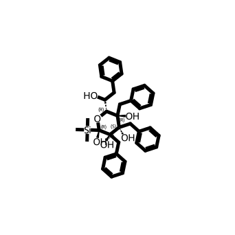 C[Si](C)(C)[C@]1(O)O[C@H](C(O)Cc2ccccc2)[C@](O)(Cc2ccccc2)[C@@](O)(Cc2ccccc2)[C@]1(O)Cc1ccccc1